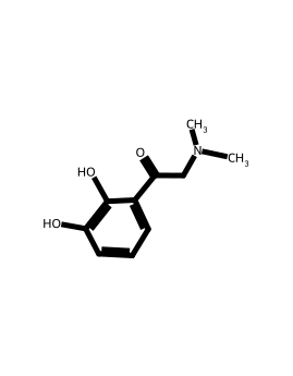 CN(C)CC(=O)c1cccc(O)c1O